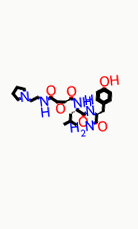 CC(C)C[C@H](NC(=O)[C@H]1OC1C(=O)NCCN1CCCC1)C(=O)N[C@@H](Cc1ccc(O)cc1)C(N)=O